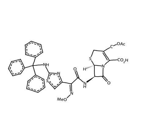 CON=C(C(=O)N[C@@H]1C(=O)N2C(C(=O)O)=C(COC(C)=O)CS[C@H]12)c1csc(NC(c2ccccc2)(c2ccccc2)c2ccccc2)n1